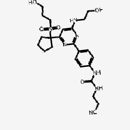 N#CCCNC(=O)Nc1ccc(-c2nc(NCCO)cc(C3(S(=O)(=O)CCCO)CCCC3)n2)cc1